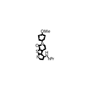 CCCNc1ccnc2sc3c(=O)n(-c4ccc(OC)cc4)ccc3c12